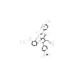 COc1ccc(-n2c(=O)c3c(CCN(C)C)c(-c4ccc([N+](=O)[O-])cc4)sc3n(Cc3c(F)cccc3F)c2=O)nn1.Cl